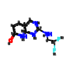 O=c1ccc2cnc(NCC(F)F)nc2[nH]1